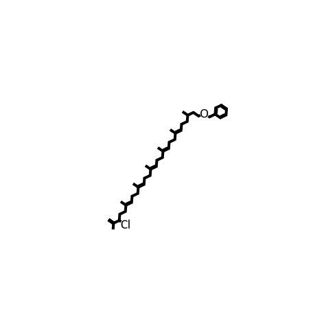 C=C(C)C(Cl)CC/C(C)=C/CC/C(C)=C/CC/C(C)=C/CC/C(C)=C/CC/C(C)=C/CCC(C)CCOCc1ccccc1